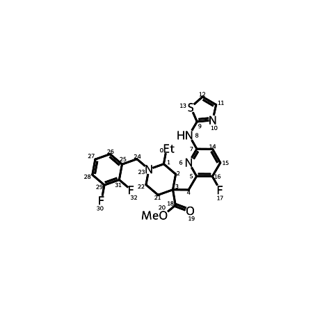 CCC1CC(Cc2nc(Nc3nccs3)ccc2F)(C(=O)OC)CCN1Cc1cccc(F)c1F